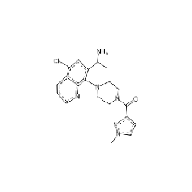 CC(N)c1cc(Cl)c2cccnc2c1N1CCN(C(=O)c2ccn(C)n2)CC1